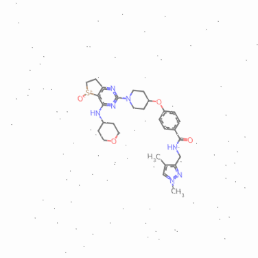 Cc1cn(C)nc1CNC(=O)c1ccc(OC2CCN(c3nc4c(c(NC5CCOCC5)n3)[S+]([O-])CC4)CC2)cc1